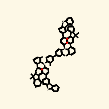 Cc1cc(-c2ccc(N(c3ccc(-c4ccc5sc6ccccc6c5c4)cc3)c3c(C)cccc3-c3ccc4c(c3)C(C)(C)c3ccccc3-4)c(C)c2)ccc1N(c1ccc(-c2ccc3sc4ccccc4c3c2)cc1)c1c(C)cccc1-c1ccc2c(c1)C(C)(C)c1ccccc1-2